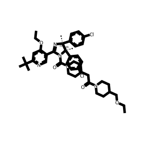 CCOCC1CCN(C(=O)CC2CCN(C(=O)N3C(c4cnc(C(C)(C)C)cc4OCC)=N[C@@](C)(c4ccc(Cl)cc4)[C@@]3(C)c3ccc(Cl)cc3)CC2)CC1